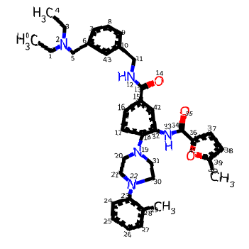 CCN(CC)Cc1cccc(CNC(=O)c2ccc(N3CCN(c4ccccc4C)CC3)c(NC(=O)c3ccc(C)o3)c2)c1